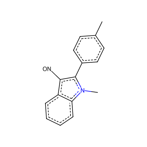 Cc1ccc(-c2c(N=O)c3ccccc3n2C)cc1